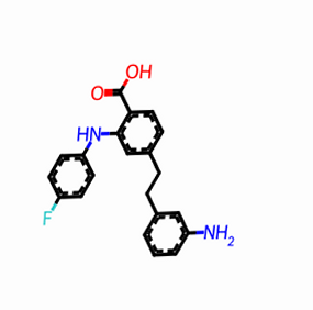 Nc1cccc(CCc2ccc(C(=O)O)c(Nc3ccc(F)cc3)c2)c1